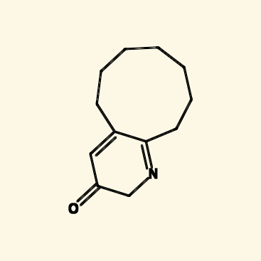 O=C1C=C2CCCCCCCC2=NC1